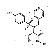 CC(C)C[C@H](C(=O)NO)N(Cc1ccncc1)S(=O)(=O)c1ccc(O)cc1